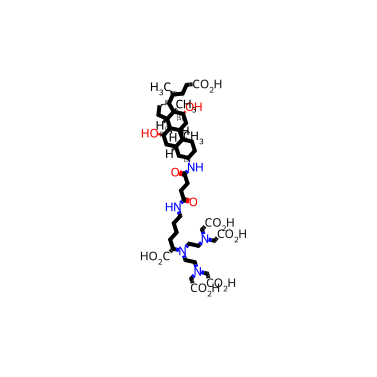 C[C@H](CCC(=O)O)[C@H]1CC[C@H]2[C@@H]3[C@H](O)C[C@@H]4C[C@@H](NC(=O)CCC(=O)NCCCCC(C(=O)O)N(CCN(CC(=O)O)CC(=O)O)CCN(CC(=O)O)CC(=O)O)CC[C@]4(C)[C@H]3C[C@H](O)[C@]12C